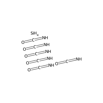 N=C=O.N=C=O.N=C=O.N=C=O.N=C=O.N=C=O.[SiH4]